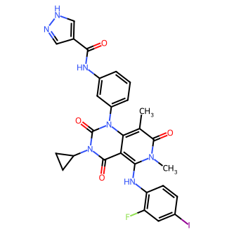 Cc1c(=O)n(C)c(Nc2ccc(I)cc2F)c2c(=O)n(C3CC3)c(=O)n(-c3cccc(NC(=O)c4cn[nH]c4)c3)c12